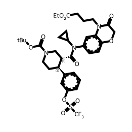 CCOC(=O)CCCN1C(=O)COc2ccc(N(C(=O)[C@H]3CN(C(=O)OC(C)(C)C)CC[C@@H]3c3cccc(OS(=O)(=O)C(F)(F)F)c3)C3CC3)cc21